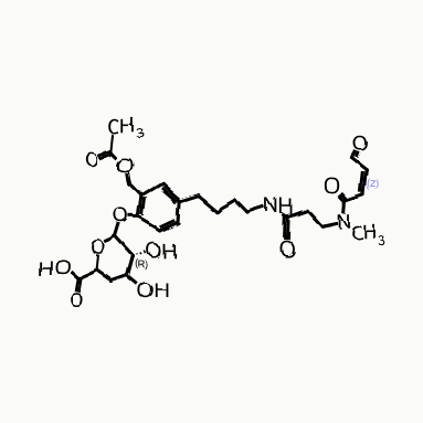 CC(=O)OCc1cc(CCCCNC(=O)CCN(C)C(=O)/C=C\C=O)ccc1OC1OC(C(=O)O)CC(O)[C@H]1O